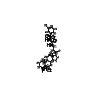 CC[C@H]1CC2C3CCC([C@H](C)CCNC(=O)NS(=O)(=O)c4cccc(C)c4)[C@@]3(C)CCC2[C@@]2(C)CCC[C@H](F)[C@@H]12